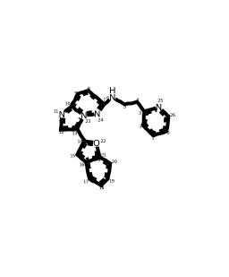 c1ccc(CCNc2ccc3ncc(-c4cc5ccccc5o4)n3n2)nc1